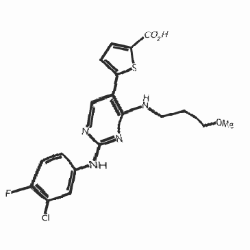 COCCCNc1nc(Nc2ccc(F)c(Cl)c2)ncc1-c1ccc(C(=O)O)s1